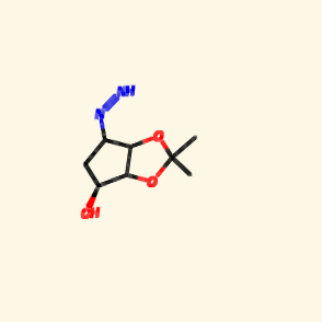 CC1(C)OC2C(N=N)C[C@H](O)C2O1